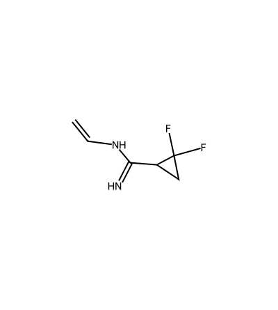 C=CNC(=N)C1CC1(F)F